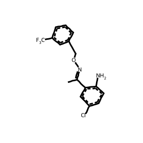 C/C(=N\OCc1cccc(C(F)(F)F)c1)c1cc(Cl)ccc1N